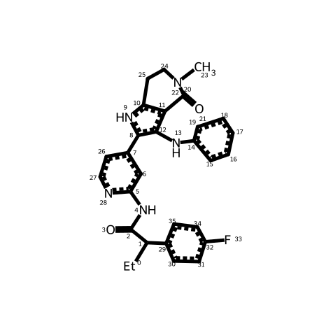 CCC(C(=O)Nc1cc(-c2[nH]c3c(c2Nc2ccccc2)C(=O)N(C)CC3)ccn1)c1ccc(F)cc1